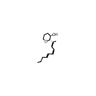 CCC/C=C/C=C\C=C(/C)[C@@H]1OCCC[C@H]1O